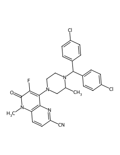 CC1CN(c2c(F)c(=O)n(C)c3ccc(C#N)nc23)CCN1C(c1ccc(Cl)cc1)c1ccc(Cl)cc1